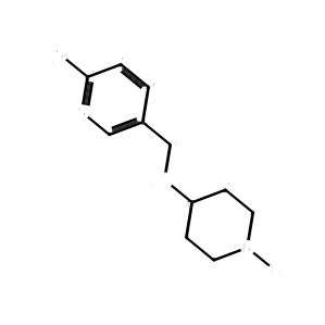 CCN1CCC(OCc2ccc(N)nc2)CC1